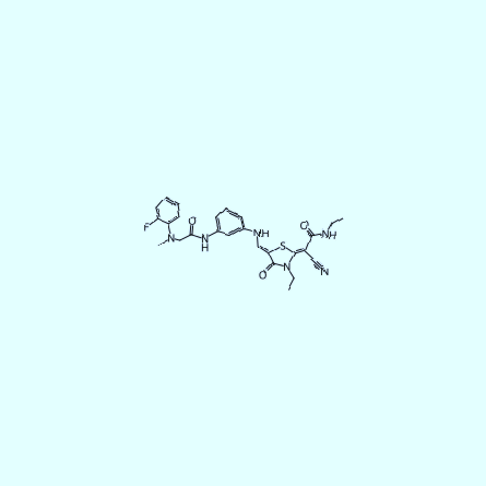 CCNC(=O)C(C#N)=c1sc(=CNc2cccc(NC(=O)CN(C)c3ccccc3F)c2)c(=O)n1CC